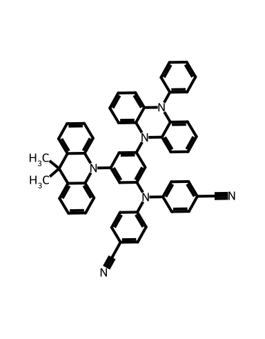 CC1(C)c2ccccc2N(c2cc(N(c3ccc(C#N)cc3)c3ccc(C#N)cc3)cc(N3c4ccccc4N(c4ccccc4)c4ccccc43)c2)c2ccccc21